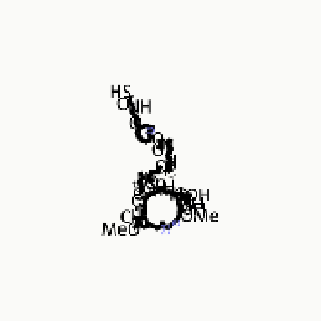 COc1cc2cc(c1Cl)N(C)C(=O)C[C@H](OC(=O)[C@H](C)N(C)C(=O)CCOC(=O)N(C)CCN(C)C(=O)OC1/C=C/CC(OCCNC(=O)CS)CCC1)[C@]1(C)O[C@H]1[C@H](C)[C@@H]1C[C@@](O)(NC(O)O1)[C@H](OC)/C=C/C=C(\C)C2